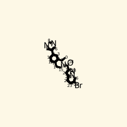 CC1c2cc(-c3cncnc3)ccc2CCN1C(=O)c1cc2ccc(Br)cn2n1